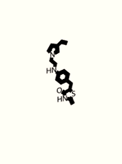 C=Cc1ccn(CCNc2ccc(CC3SC(=C)NC3=O)cc2)c1